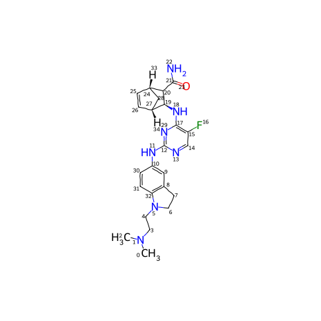 CN(C)CCN1CCc2cc(Nc3ncc(F)c(N[C@@H]4C(C(N)=O)[C@H]5C=C[C@@H]4C5)n3)ccc21